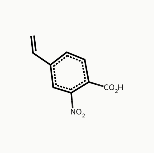 C=Cc1ccc(C(=O)O)c([N+](=O)[O-])c1